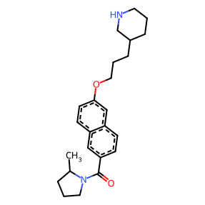 CC1CCCN1C(=O)c1ccc2cc(OCCCC3CCCNC3)ccc2c1